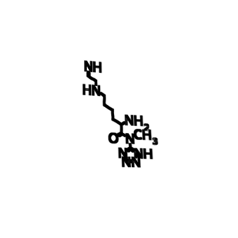 CN(C(=O)C(N)CCCCNCC=N)c1nnn[nH]1